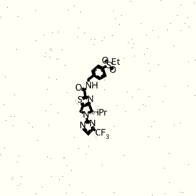 CCS(=O)(=O)c1ccc(CNC(=O)c2nc3c(s2)CN(c2nccc(C(F)(F)F)n2)[C@H]3C(C)C)cc1